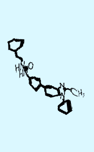 Cc1nc2cc(-c3ccc(NC(=O)NCCC4CCCCC4)cc3)ccc2n1-c1ccccc1